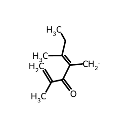 [CH2]C(C(=O)C(=C)C)=C(C)CC